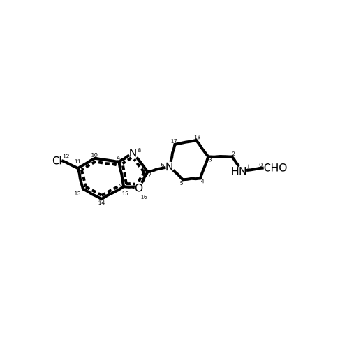 O=CNCC1CCN(c2nc3cc(Cl)ccc3o2)CC1